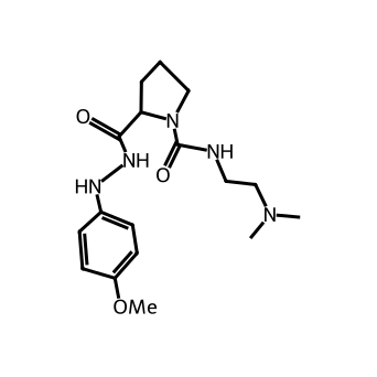 COc1ccc(NNC(=O)C2CCCN2C(=O)NCCN(C)C)cc1